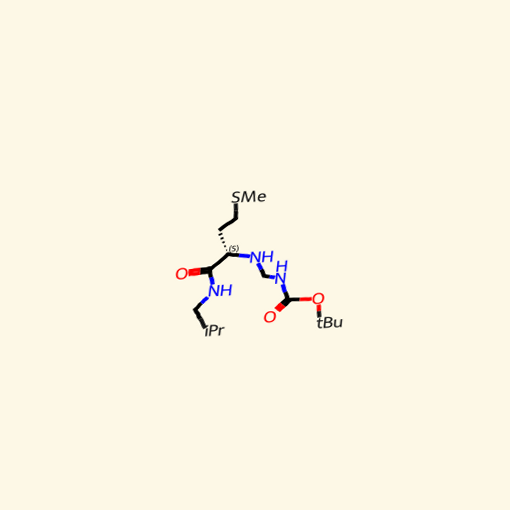 CSCC[C@H](NCNC(=O)OC(C)(C)C)C(=O)NCC(C)C